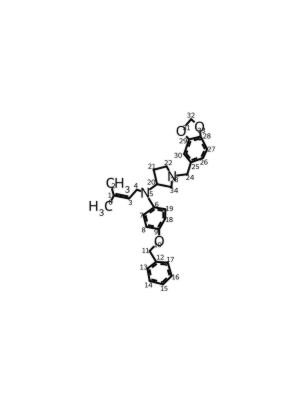 CC(C)=CCN(c1ccc(OCc2ccccc2)cc1)C1CCN(Cc2ccc3c(c2)OCO3)C1